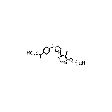 CC(C(=O)O)c1ccc(OC2CCN(c3ncnc(OCC(C)(C)O)c3F)C2)cc1